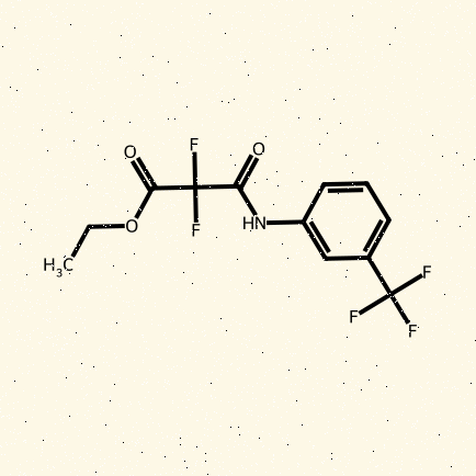 CCOC(=O)C(F)(F)C(=O)Nc1cccc(C(F)(F)F)c1